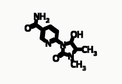 CC1C(O)N(c2ccc(C(N)=O)cn2)C(=O)N1C